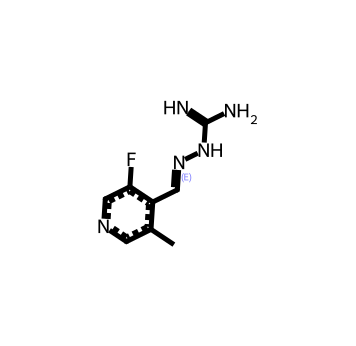 Cc1cncc(F)c1/C=N/NC(=N)N